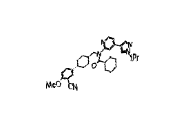 COc1ccc([C@H]2CC[C@H](CN(C(=O)C3CCCCC3)c3cc(-c4cnn(C(C)C)c4)ccn3)CC2)cc1C#N